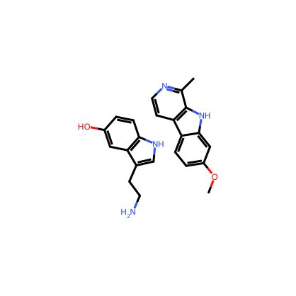 COc1ccc2c(c1)[nH]c1c(C)nccc12.NCCc1c[nH]c2ccc(O)cc12